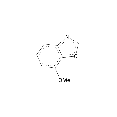 COc1cccc2n[c]oc12